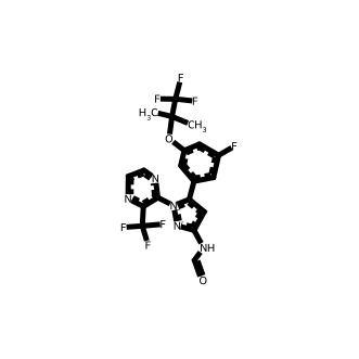 CC(C)(Oc1cc(F)cc(-c2cc(NC=O)nn2-c2nccnc2C(F)(F)F)c1)C(F)(F)F